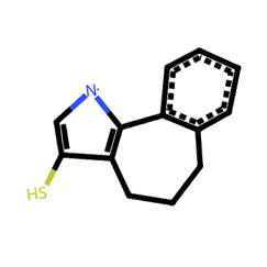 SC1=C[N]C2=C1CCCc1ccccc12